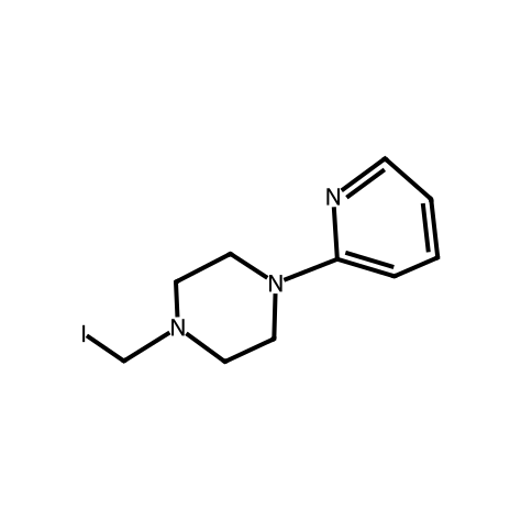 ICN1CCN(c2ccccn2)CC1